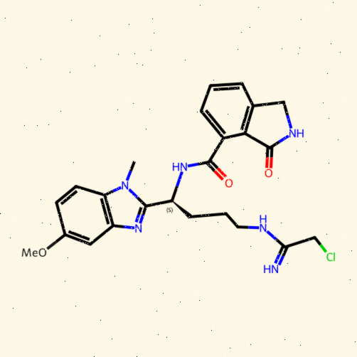 COc1ccc2c(c1)nc([C@H](CCCNC(=N)CCl)NC(=O)c1cccc3c1C(=O)NC3)n2C